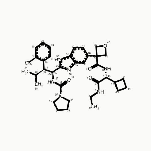 CCNC(=O)[C@H](NC(=O)C1(c2ccc3[nH]c([C@@H](NC(=O)N4CCCC4)[C@H](c4ccccc4Cl)C(C)C)nc3c2)COC1)C1CCC1